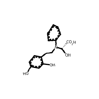 O=C(O)[C@H](O)N(CCc1ccc(O)cc1O)c1ccccc1